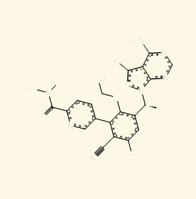 CCOc1c([C@H](C)n2nc(C)c3c(N)ncnc32)cc(C)c(C#N)c1-c1ccc(C(=O)N(C)C)nc1